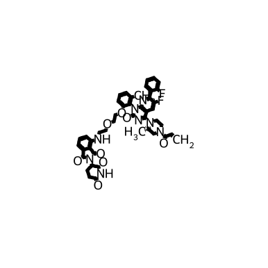 C=CC(=O)N1CCN(c2nc(=O)n(-c3c(C)cccc3OCCOCCNc3cccc4c3C(=O)N(C3CCC(=O)NC3=O)C4=O)c3nc(-c4ccccc4F)c(F)cc23)[C@@H](C)C1